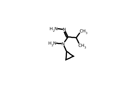 CC(C)/C(=N/N)N(N)C1CC1